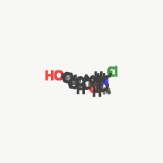 C[C@H]1C[C@H]2O[C@@]34CC[C@H]5C6CC=C7C[C@@H](O)CC[C@]7(C)[C@H]6CC56CC63C[C@@H]4[C@@H]2N(CCCl)C1